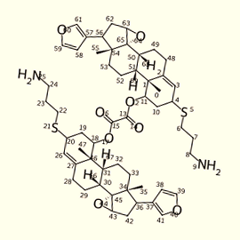 C[C@@]12C(=CC(SCCCN)CC1OC(=O)C(=O)OC1CC(SCCCN)C=C3CC[C@@H]4[C@@H](CC[C@]5(C)C(c6ccoc6)CC6O[C@]645)[C@]31C)CC[C@@H]1[C@H]2CC[C@]2(C)C(c3ccoc3)CC3O[C@]312